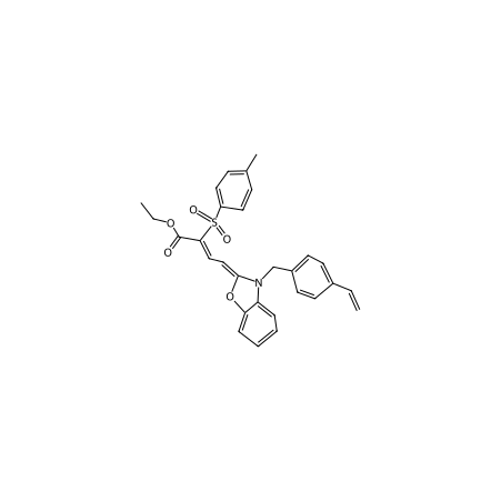 C=Cc1ccc(CN2/C(=C/C=C(/C(=O)OCC)S(=O)(=O)c3ccc(C)cc3)Oc3ccccc32)cc1